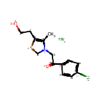 Br.CC1=C(CCO)SCN1CC(=O)c1ccc(Cl)cc1